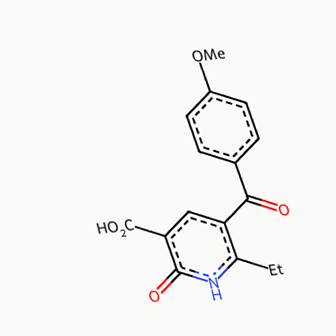 CCc1[nH]c(=O)c(C(=O)O)cc1C(=O)c1ccc(OC)cc1